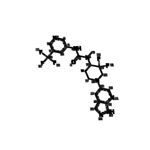 CN(C(=O)Nc1cncc(C(F)(F)F)c1)C1CCN(c2cnc3[nH]ncc3c2)CC1(F)F